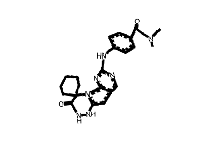 CN(C)C(=O)c1ccc(Nc2ncc3cc4n(c3n2)C2(CCCCC2)C(=O)NN4)cc1